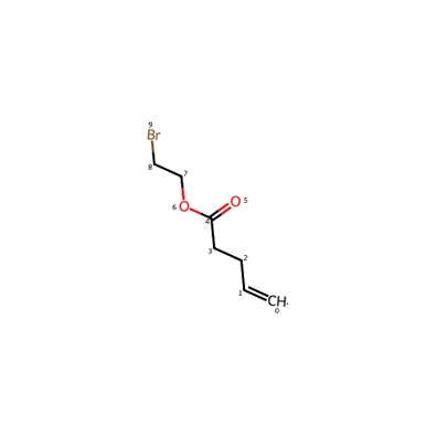 [CH]=CCCC(=O)OCCBr